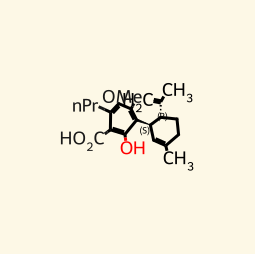 C=C(C)[C@@H]1CCC(C)=C[C@H]1c1c(OC)cc(CCC)c(C(=O)O)c1O